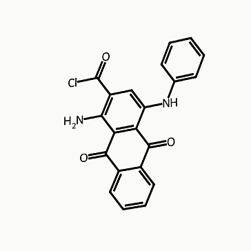 Nc1c(C(=O)Cl)cc(Nc2ccccc2)c2c1C(=O)c1ccccc1C2=O